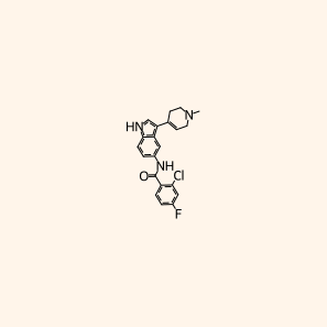 CN1CC=C(c2c[nH]c3ccc(NC(=O)c4ccc(F)cc4Cl)cc23)CC1